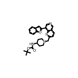 CC(C)(C)OC(=O)NC1CCN(Cc2ccc3cncc(-c4cc5ccccc5o4)c3n2)CC1